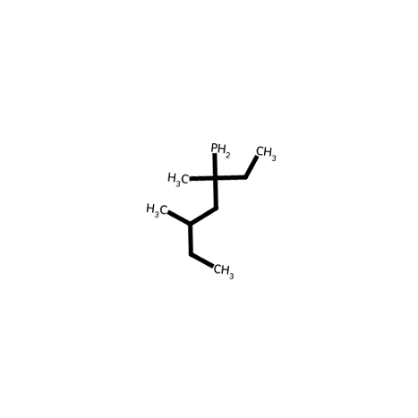 CCC(C)CC(C)(P)CC